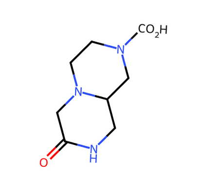 O=C1CN2CCN(C(=O)O)CC2CN1